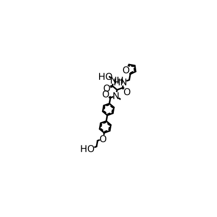 CN(C(=O)c1ccc(-c2ccc(OCCO)cc2)cc1)C(C(=O)NO)C(=O)NCc1ccco1